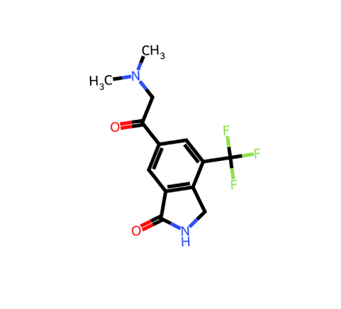 CN(C)CC(=O)c1cc2c(c(C(F)(F)F)c1)CNC2=O